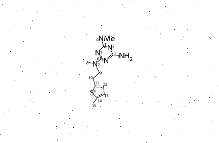 CNc1nc(N)nc(N(C)CCc2ccc(C)s2)n1